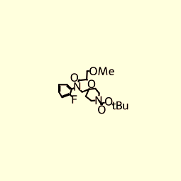 COCC1OC2(CCN(C(=O)OC(C)(C)C)CC2)CN(c2ccccc2F)C1=O